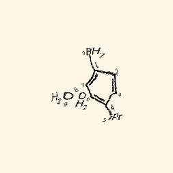 Bc1ccc(C(C)C)cc1.O.O